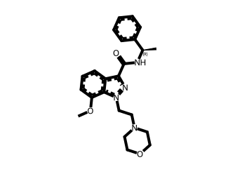 COc1cccc2c(C(=O)N[C@H](C)c3ccccc3)nn(CCN3CCOCC3)c12